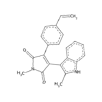 C=Cc1ccc(C2=C(c3c(C)[nH]c4ccccc34)C(=O)N(C)C2=O)cc1